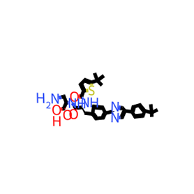 CC(C)(C)c1ccc(-c2cnc(-c3ccc(C[C@H](NC(=O)c4ccc(C(C)(C)C)s4)C(=O)NC(CN)C(=O)O)cc3)nc2)cc1